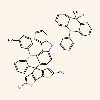 Cc1cccc(N2c3ccccc3C3(c4cc(C)sc4-c4sc(C)cc43)c3ccc4c(c32)c2ccccc2n4-c2cccc(N3c4ccccc4C(C)(C)c4ccccc43)c2)c1